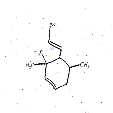 CC(=O)/C=C/C1C(C)CC=CC1(C)C